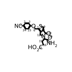 N#Cc1ccc(OCc2scc3c2CN(C(CCC(=O)O)C(N)=O)C3=O)cc1